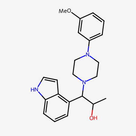 COc1cccc(N2CCN(C(c3cccc4[nH]ccc34)C(C)O)CC2)c1